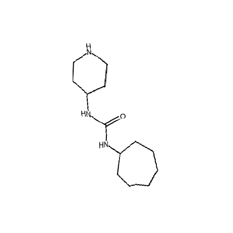 O=C(NC1CCCCCC1)NC1CCNCC1